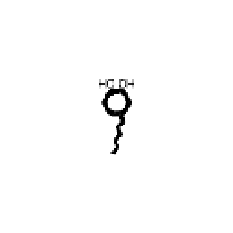 CCCCCCc1ccccc(O)c(O)ccc1